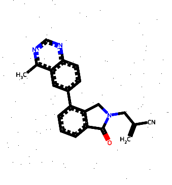 C=C(C#N)CN1Cc2c(cccc2-c2ccc3ncnc(C)c3c2)C1=O